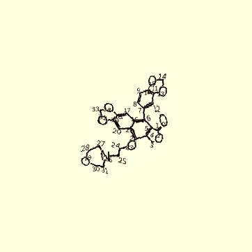 O=C1OCc2c1c(-c1ccc3c(c1)OCO3)c1cc3c(cc1c2OCCN1CCOCC1)OCO3